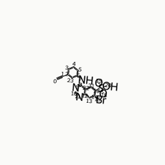 C#Cc1cccc(Nc2ncnc3cc(Br)c(S(=O)(=O)O)cc23)c1